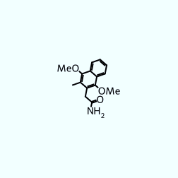 COc1c(C)c(CC(N)=O)c(OC)c2ccccc12